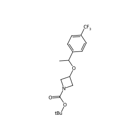 CC(OC1CN(C(=O)OC(C)(C)C)C1)c1ccc(C(F)(F)F)cc1